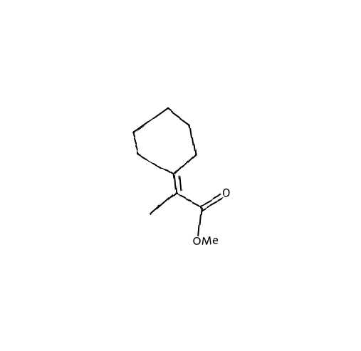 COC(=O)C(C)=C1CCCCC1